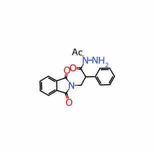 CC(=O)N(N)C(=O)C(CN1C(=O)c2ccccc2C1=O)c1ccccc1